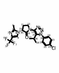 Cc1nc(C(F)(F)F)cn1[C@@H]1CCN(c2nnn(-c3ccc(Cl)cc3)c2C(C)C)C1=O